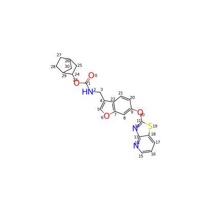 O=C(NCc1coc2cc(Oc3nc4ncccc4s3)ccc12)OC1CC2CCC1C2